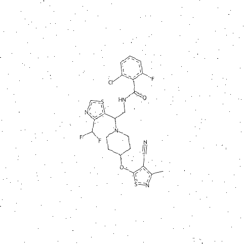 Cc1nsc(OC2CCN(C(CNC(=O)c3c(F)cccc3Cl)c3scnc3C(F)F)CC2)c1C#N